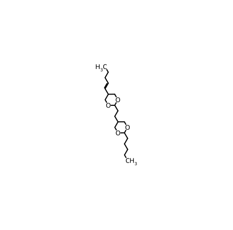 CCC/C=C/C1COC(CCC2COC(CCCCC)OC2)OC1